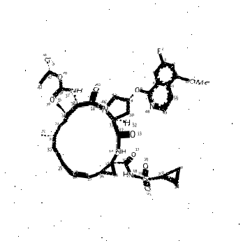 COc1cc(F)cc2c(O[C@@H]3C[C@H]4C(=O)N[C@]5(C(=O)NS(=O)(=O)C6CC6)CC5/C=C\CC[C@H](C)C[C@@H](C)[C@H](NC(=O)O[C@H](C)C(F)(F)F)C(=O)N4C3)nccc12